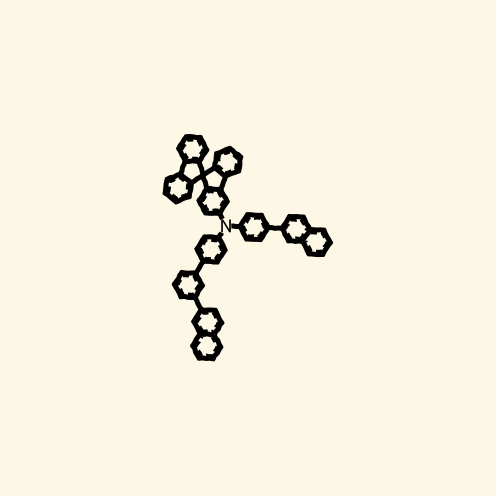 c1cc(-c2ccc(N(c3ccc(-c4ccc5ccccc5c4)cc3)c3ccc4c(c3)-c3ccccc3C43c4ccccc4-c4ccccc43)cc2)cc(-c2ccc3ccccc3c2)c1